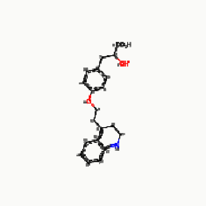 O=C(O)C(O)Cc1ccc(OCCC2=c3ccccc3=NCC2)cc1